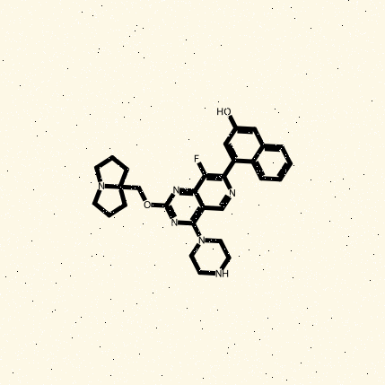 Oc1cc(-c2ncc3c(N4CCNCC4)nc(OCC45CCCN4CCC5)nc3c2F)c2ccccc2c1